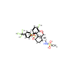 CS(=O)(=O)NC[C@@H]1CCC[C@@]2(S(=O)(=O)c3ccc(C(F)(F)F)cc3)c3c(F)ccc(F)c3OC[C@@H]12